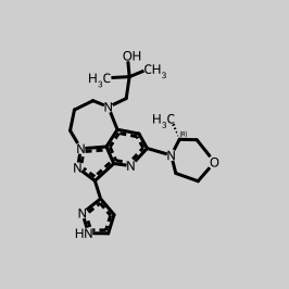 C[C@@H]1COCCN1c1cc2c3c(n1)c(-c1cc[nH]n1)nn3CCCN2CC(C)(C)O